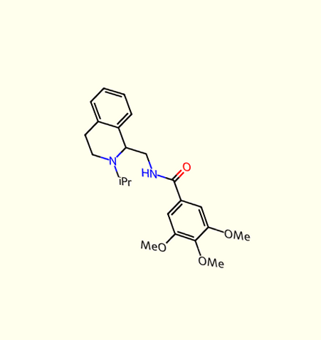 COc1cc(C(=O)NCC2c3ccccc3CCN2C(C)C)cc(OC)c1OC